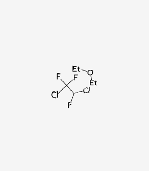 CCOCC.FC(Cl)C(F)(F)Cl